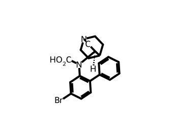 O=C(O)N(c1cc(Br)ccc1-c1ccccc1)[C@H]1CN2CCC1CC2